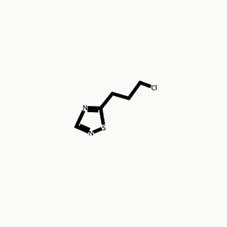 ClCCCc1ncns1